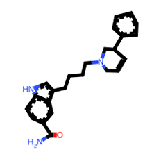 NC(=O)c1ccc2[nH]cc(CCCCN3CC=CC(c4ccccc4)C3)c2c1